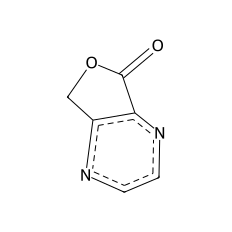 O=C1OCc2nccnc21